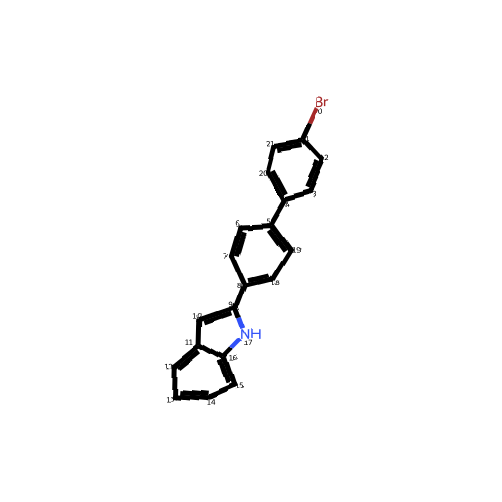 Brc1ccc(-c2ccc(-c3cc4ccccc4[nH]3)cc2)cc1